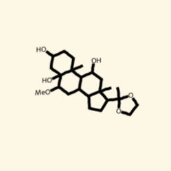 COC1CC2C3CCC(C4(C)OCCO4)C3(C)CC(O)C2C2(C)CCC(O)CC12O